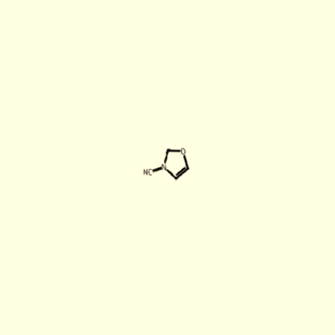 N#CN1[C]=COC1